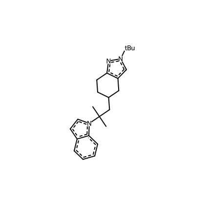 CC(C)(C)n1cc2c(n1)CCC(CC(C)(C)n1ccc3ccccc31)C2